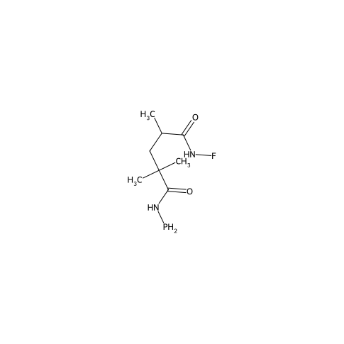 CC(CC(C)(C)C(=O)NP)C(=O)NF